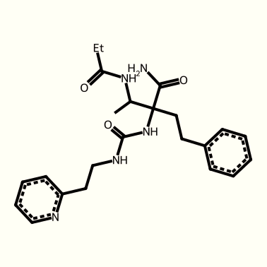 CCC(=O)NC(C)C(CCc1ccccc1)(NC(=O)NCCc1ccccn1)C(N)=O